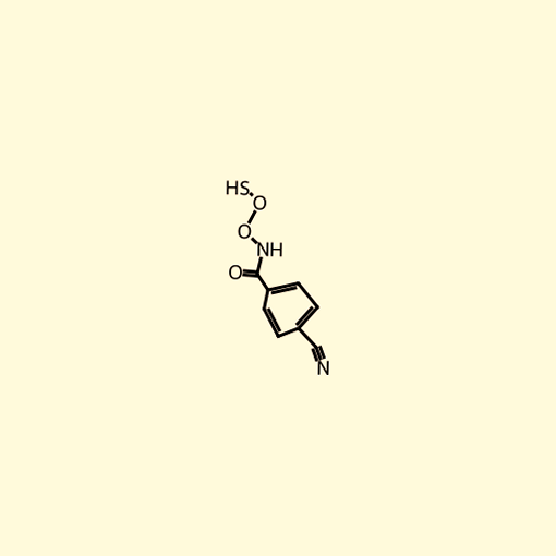 N#Cc1ccc(C(=O)NOOS)cc1